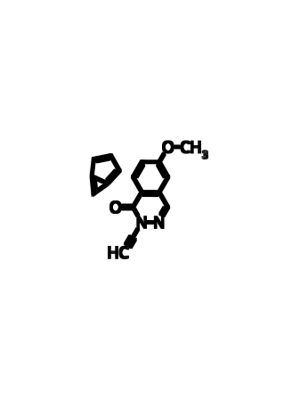 C#Cn1ncc2cc(OC)ccc2c1=O.c1cc2cc-2c1